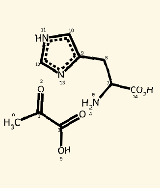 CC(=O)C(=O)O.NC(Cc1c[nH]cn1)C(=O)O